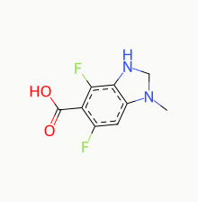 CN1CNc2c1cc(F)c(C(=O)O)c2F